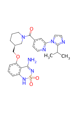 CC(C)c1nccn1-c1cc(C(=O)N2CCC[C@H](COc3cccc4c3C(N)=NS(=O)(=O)N4)C2)ccn1